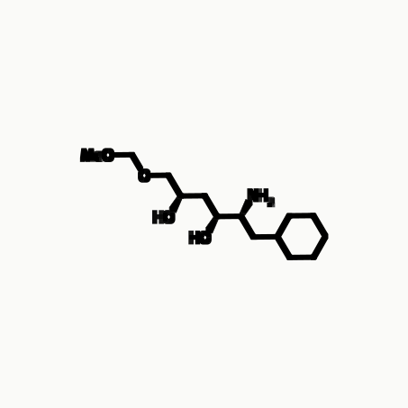 COCOC[C@H](O)C[C@H](O)[C@@H](N)CC1CCCCC1